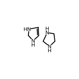 C1=CNCN1.C1CNCN1